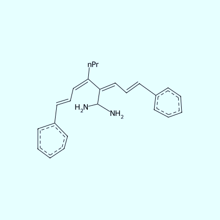 CCCC(=CC=Cc1ccccc1)C(=CC=Cc1ccccc1)C(N)N